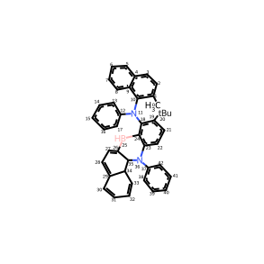 Cc1ccc2ccccc2c1N(c1ccccc1)c1c(C(C)(C)C)ccc2c1BC1=CC=C3C=CC=CC3C1N2c1ccccc1